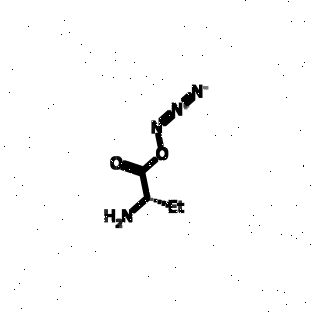 CC[C@H](N)C(=O)ON=[N+]=[N-]